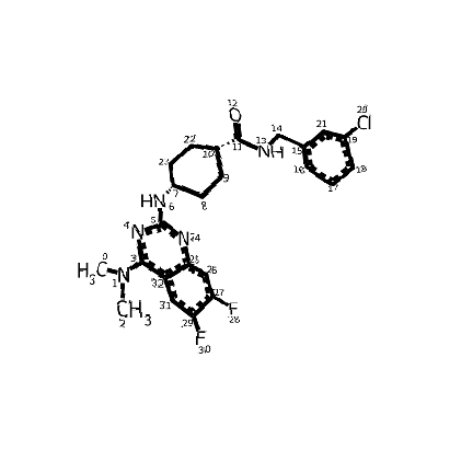 CN(C)c1nc(N[C@H]2CC[C@@H](C(=O)NCc3cccc(Cl)c3)CC2)nc2cc(F)c(F)cc12